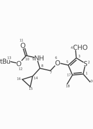 Cc1sc(C=O)c(OCC(NC(=O)OC(C)(C)C)C2CC2)c1C